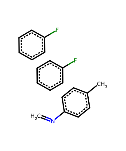 C=Nc1ccc(C)cc1.Fc1ccccc1.Fc1ccccc1